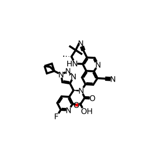 Cc1nc(F)ccc1[C@@H](c1cn(C23CC(C2)C3)nn1)N(C(=O)C(=O)O)c1cc(C#N)c2ncc(C#N)c(N[C@H](C)C(C)(C)C)c2c1